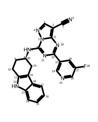 N#Cc1cnn2c(N[C@@H]3CCc4[nH]c5ccccc5c4C3)nc(-c3cncc(F)c3)nc12